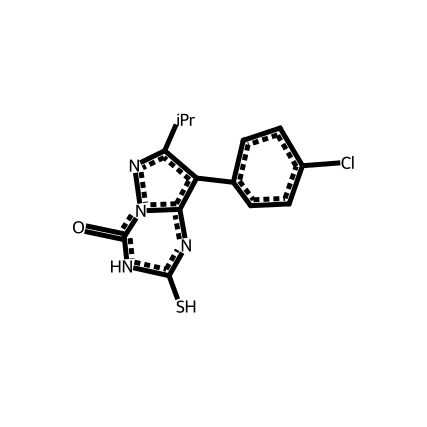 CC(C)c1nn2c(=O)[nH]c(S)nc2c1-c1ccc(Cl)cc1